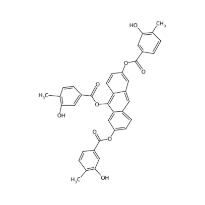 Cc1ccc(C(=O)Oc2ccc3c(OC(=O)c4ccc(C)c(O)c4)c4cc(OC(=O)c5ccc(C)c(O)c5)ccc4cc3c2)cc1O